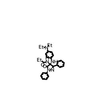 CCC(=O)NC1(Nc2ccc(N(CC)CC)cc2)C(=O)N(c2ccccc2)N=C1c1ccccc1